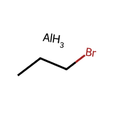 CCCBr.[AlH3]